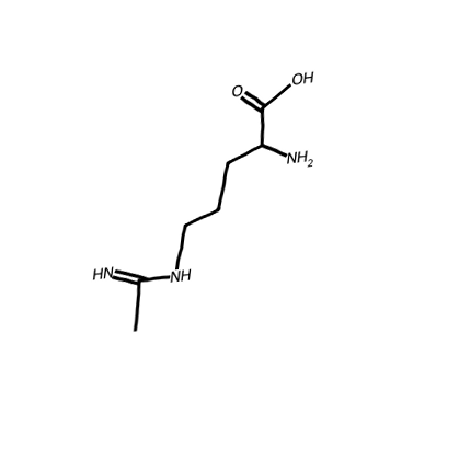 CC(=N)NCCCC(N)C(=O)O